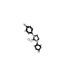 Fc1ccc(N2CCN(c3ccc(F)cc3)C2C(Cl)(Cl)Cl)cc1